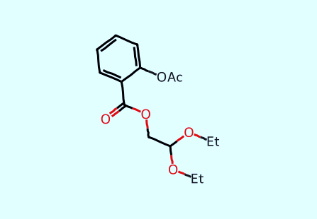 CCOC(COC(=O)c1ccccc1OC(C)=O)OCC